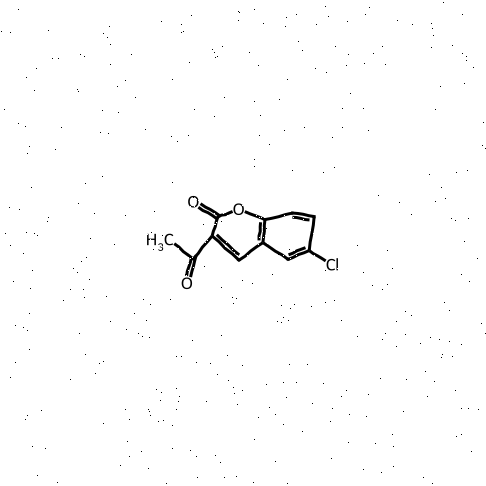 CC(=O)c1cc2cc(Cl)ccc2oc1=O